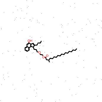 CCCCCCCCCCCCCCCC(C)CC(=O)OCCOCCCC1C(CCCC)=Cc2c(O)cc3ccccc3c21